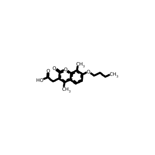 CCCCOc1ccc2c(C)c(CC(=O)O)c(=O)oc2c1C